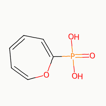 O=P(O)(O)C1=CC=CC=CO1